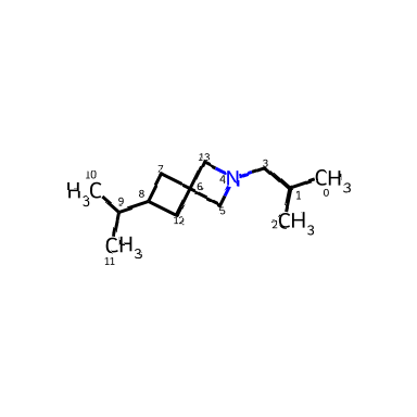 CC(C)CN1CC2(CC(C(C)C)C2)C1